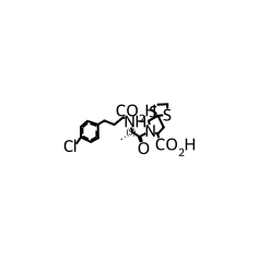 C[C@H](NC(CCc1ccc(Cl)cc1)C(=O)O)C(=O)N1CC2(CC1C(=O)O)SCCS2